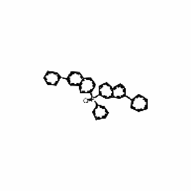 O=P(c1ccccc1)(c1ccc2ccc(-c3ccccc3)cc2c1)c1ccc2ccc(-c3ccccc3)cc2c1